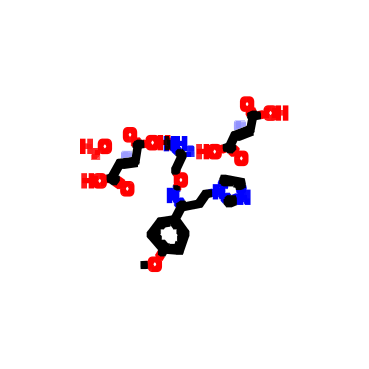 COc1ccc(C(CCn2ccnc2)=NOCCN)cc1.O.O=C(O)/C=C/C(=O)O.O=C(O)/C=C/C(=O)O